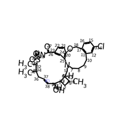 C[C@@H]1C[C@@H]2[C@@H]1CN1CCCCc3cc(Cl)ccc3COc3ccc(cc31)C(=O)NS(=O)(=O)[C@H](C)[C@H](C)C/C=C/[C@@H]2O